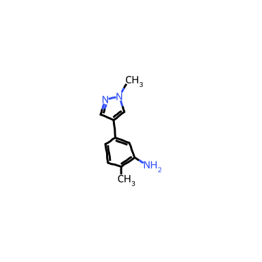 Cc1ccc(-c2cnn(C)c2)cc1N